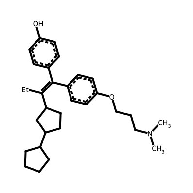 CC/C(=C(\c1ccc(O)cc1)c1ccc(OCCCN(C)C)cc1)C1CCC(C2CCCC2)C1